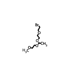 COCCOC(C)OCCOCCBr